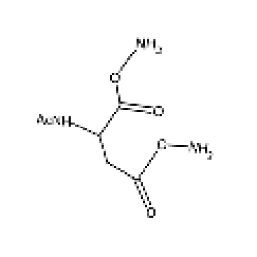 CC(=O)NC(CC(=O)ON)C(=O)ON